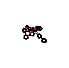 c1ccc(-c2ccc(N(c3ccc4c(c3)C3(c5ccccc5-c5ccccc5-4)c4ccccc4-c4cc5c(cc43)sc3ccccc35)c3ccccc3-c3ccccc3)cc2)cc1